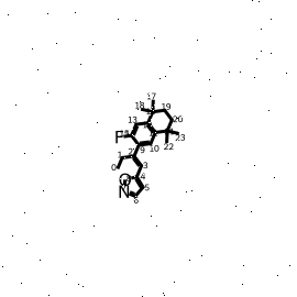 CCC(=Cc1ccno1)c1cc2c(cc1F)C(C)(C)CCC2(C)C